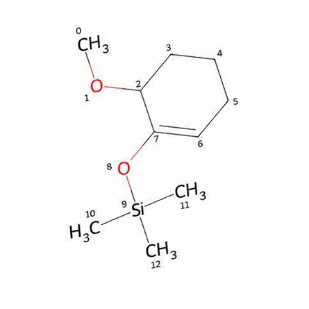 COC1CCCC=C1O[Si](C)(C)C